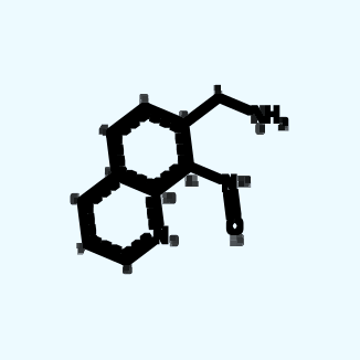 NCc1ccc2cccnc2c1N=O